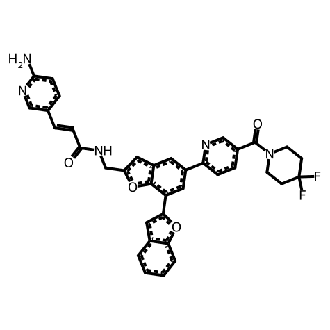 Nc1ccc(/C=C/C(=O)NCc2cc3cc(-c4ccc(C(=O)N5CCC(F)(F)CC5)cn4)cc(-c4cc5ccccc5o4)c3o2)cn1